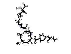 CCOC(=O)CN1CCN(C(=O)O[C@H]2/C=C/[C@H](C)[C@@H](/C(C)=C/C=C/[C@@H](C)C[C@H]3O[C@@H]3[C@H](C)[C@@H](O)CC)OC(=O)C[C@H](O)CC[C@@H]2C)CC1